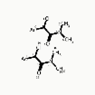 CC(=O)C(Cl)C(=O)N(C)C.CC(=O)C(Cl)C(=O)N(C)C